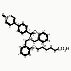 C=N/C=C\C(=C/C)c1ccc(C(=O)N(Cc2ccccc2)Cc2ccccc2OCCCCCC(=O)O)cc1